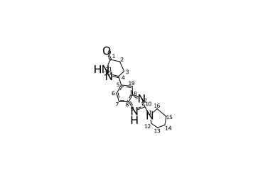 O=C1CCC(c2ccc3[nH]c(N4CCCCC4)nc3c2)=NN1